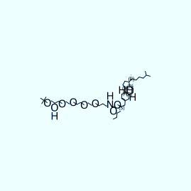 CCCC[C@@H](CC1=CC[C@@H]2[C@H](CC[C@]3(C)C([C@H](C)CCCC(C)C)CC[C@@H]23)C1)OC(=O)NCCCOCCOCCOCCOCC(O)COC(C)(C)C